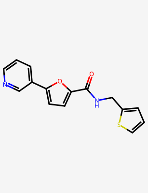 O=C(NCc1cccs1)c1ccc(-c2cccnc2)o1